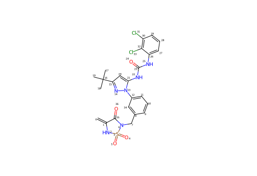 C=C1NS(=O)(=O)N(Cc2cccc(-n3nc(C(C)(C)C)cc3NC(=O)Nc3cccc(Cl)c3Cl)c2)C1=O